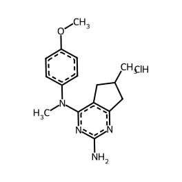 COc1ccc(N(C)c2nc(N)nc3c2CC(C)C3)cc1.Cl